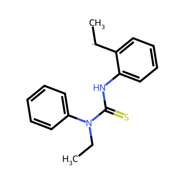 C[CH]c1ccccc1NC(=S)N(CC)c1ccccc1